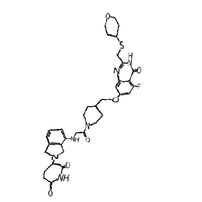 O=C1CCC(N2Cc3cccc(NCC(=O)N4CCC(COc5cc(F)c6c(=O)[nH]c(CSC7CCOCC7)nc6c5)CC4)c3C2)C(=O)N1